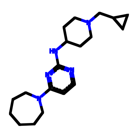 c1cc(N2CCCCCC2)nc(NC2CCN(CC3CC3)CC2)n1